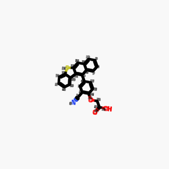 N#Cc1cc(-c2c3ccccc3cc3sc4ccccc4c23)ccc1OCC(=O)O